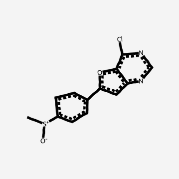 C[S+]([O-])c1ccc(-c2cc3ncnc(Cl)c3o2)cc1